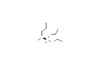 CCCS([SiH3])=P(O)(OCC)OCC